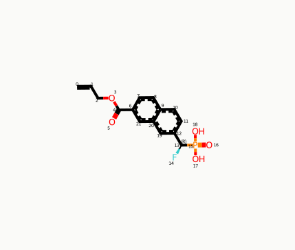 C=CCOC(=O)c1ccc2ccc([C@H](F)P(=O)(O)O)cc2c1